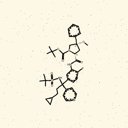 CO[C@]1(c2ccccc2)C[C@H](C(=O)Nc2cc(C(CCC3CC3)(NS(=O)(=O)C(C)(C)C)c3ccncc3)ccc2F)N(C(=O)OC(C)(C)C)C1